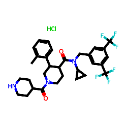 Cc1ccccc1C1CN(C(=O)C2CCNCC2)CCC1C(=O)N(Cc1cc(C(F)(F)F)cc(C(F)(F)F)c1)C1CC1.Cl